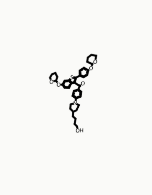 O=C(c1ccc(N2CCC(CCCCO)CC2)cc1)c1c(-c2ccc(OC3CCCCO3)cc2)sc2cc(OC3CCCCO3)ccc12